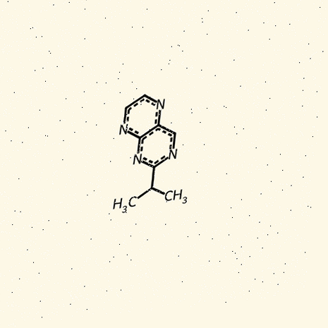 CC(C)c1ncc2nccnc2n1